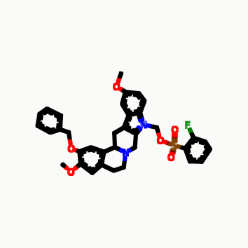 COc1ccc2c(c1)c1c(n2COS(=O)(=O)c2ccccc2F)CN2CCc3cc(OC)c(OCc4ccccc4)cc3C2C1